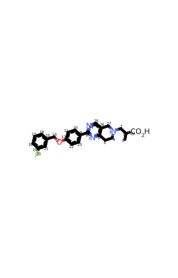 CC(CN1CCc2nc(-c3ccc(OCc4cccc(F)c4)cc3)ncc2C1)C(=O)O